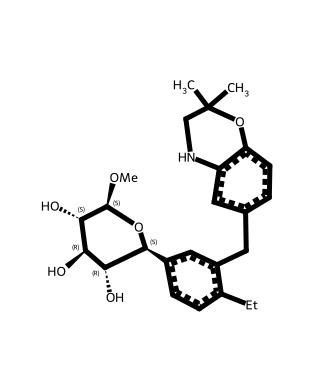 CCc1ccc([C@@H]2O[C@H](OC)[C@@H](O)[C@H](O)[C@H]2O)cc1Cc1ccc2c(c1)NCC(C)(C)O2